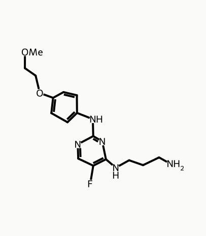 COCCOc1ccc(Nc2ncc(F)c(NCCCN)n2)cc1